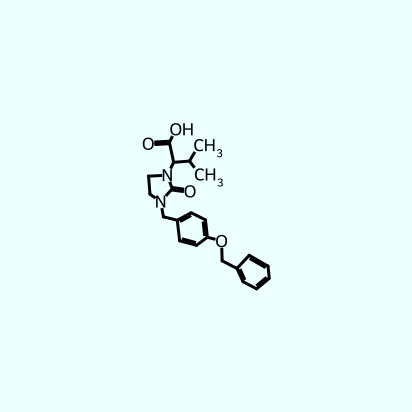 CC(C)C(C(=O)O)N1CCN(Cc2ccc(OCc3ccccc3)cc2)C1=O